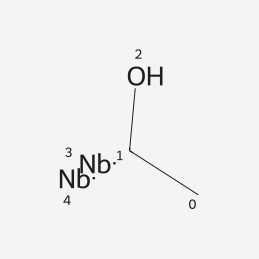 CCO.[Nb].[Nb]